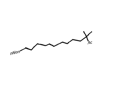 CCCCCCCCCCCCCCCCCCCC(C)(C)C(C)=O